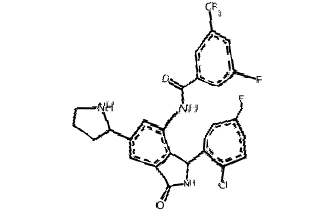 O=C(Nc1cc(C2CCCN2)cc2c1C(c1cc(F)ccc1Cl)NC2=O)c1cc(F)cc(C(F)(F)F)c1